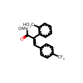 COC(=O)C(=Cc1ccc(C(F)(F)F)cc1)c1ccccc1C(=O)O